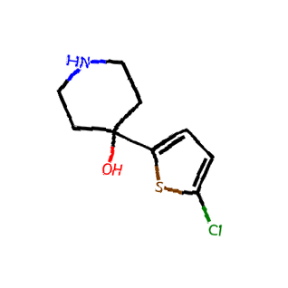 OC1(c2ccc(Cl)s2)CCNCC1